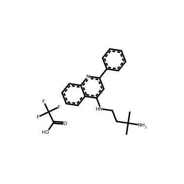 CC(C)(N)CCNc1cc(-c2ccccc2)nc2ccccc12.O=C(O)C(F)(F)F